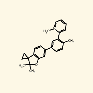 Cc1ccc(-c2ccc3c(c2)OC(C)(C)C32CC2)cc1-c1cccc[n+]1C